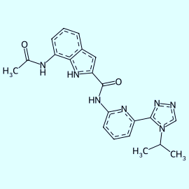 CC(=O)Nc1cccc2cc(C(=O)Nc3cccc(-c4nncn4C(C)C)n3)[nH]c12